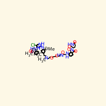 COc1cc(CCN(C)CCOCCOCCNC(=O)CNc2cccc3c2C(=O)N(C2CCC(=O)NC2=O)C3=O)c(C)cc1Nc1ncc(Cl)c(Nc2ccccc2P(C)(C)=O)n1